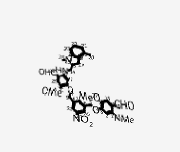 CNc1cc(OCc2cc(COc3cc(NCC4Cc5c(C)cccc5N4C)c(C=O)cc3OC)cc([N+](=O)[O-])c2)c(OC)cc1C=O